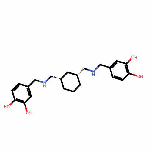 Oc1ccc(CNC[C@H]2CCC[C@@H](CNCc3ccc(O)c(O)c3)C2)cc1O